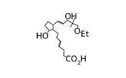 CCOCC(C)(C)C(O)C=CC1CCC(O)C1CCC=CCCC(=O)O